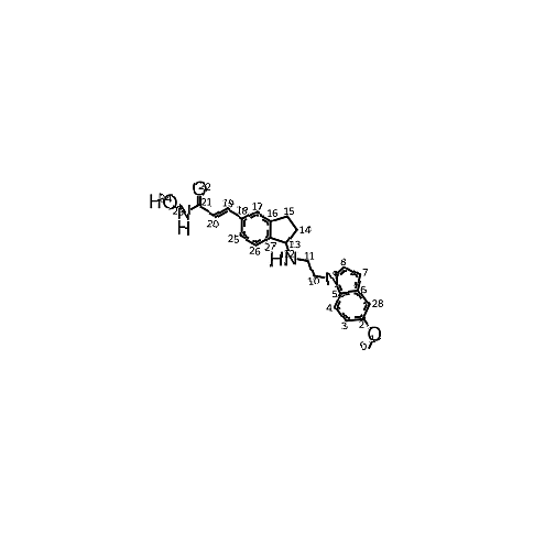 COc1ccc2c(ccn2CCNC2CCc3cc(/C=C/C(=O)NO)ccc32)c1